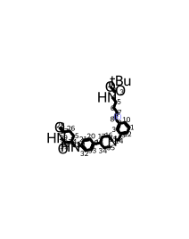 CC(C)(C)OC(=O)NCC/C=C/c1cccc(CN2CCC(c3ccc(NC4CCC(=O)NC4=O)cc3)CC2)c1